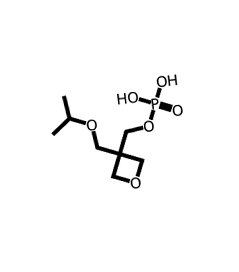 CC(C)OCC1(COP(=O)(O)O)COC1